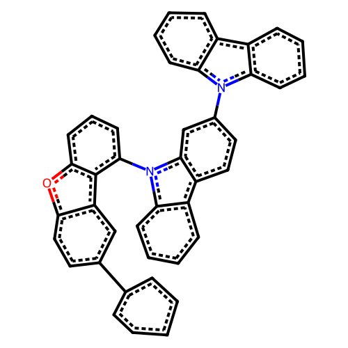 c1ccc(-c2ccc3oc4cccc(-n5c6ccccc6c6ccc(-n7c8ccccc8c8ccccc87)cc65)c4c3c2)cc1